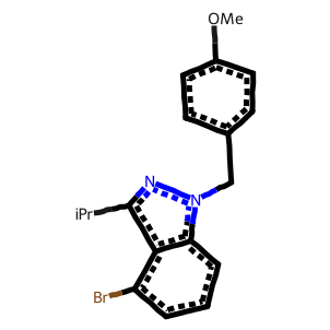 COc1ccc(Cn2nc(C(C)C)c3c(Br)cccc32)cc1